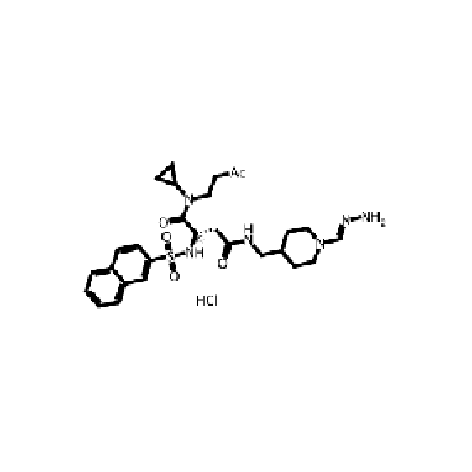 CC(=O)CCN(C(=O)[C@H](CC(=O)NCC1CCN(C=NN)CC1)NS(=O)(=O)c1ccc2ccccc2c1)C1CC1.Cl